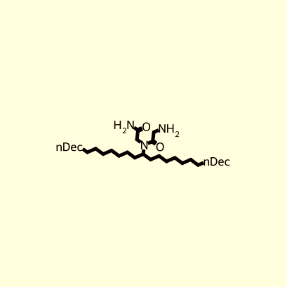 CCCCCCCCCCCCCCCCCC(CCCCCCCCCCCCCCCCC)N(CC(N)=O)C(=O)CN